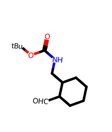 CC(C)(C)OC(=O)NCC1CCCCC1C=O